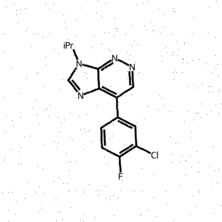 CC(C)n1cnc2c(-c3ccc(F)c(Cl)c3)cnnc21